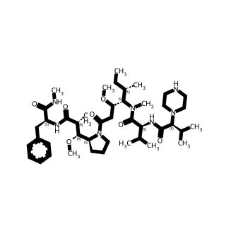 CC[C@H](C)[C@@H](C(CC(=O)N1CCC[C@H]1[C@H](OC)[C@@H](C)C(=O)N[C@@H](Cc1ccccc1)C(=O)NC)OC)N(C)C(=O)[C@@H](NC(=O)[C@H](C(C)C)N1CCNCC1)C(C)C